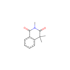 CN1C(=O)c2ccccc2C(C)(C)C1=O